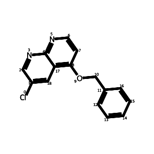 Clc1cnc2nccc(OCc3ccccc3)c2c1